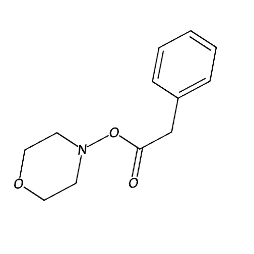 O=C(Cc1ccccc1)ON1CCOCC1